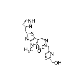 CN(Cc1csc(CO)n1)/N=C\c1c(C=O)n(C)c2nc(Cc3cc[nH]n3)sc12